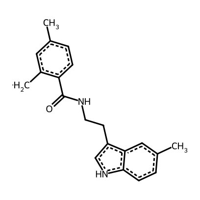 [CH2]c1cc(C)ccc1C(=O)NCCc1c[nH]c2ccc(C)cc12